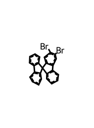 Brc1cc2c(cc1Br)C1(c3ccccc3-c3ccccc31)c1ccccc1-2